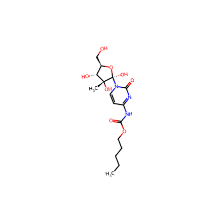 CCCCCOC(=O)Nc1ccn([C@]2(O)O[C@H](CO)[C@@H](O)[C@@]2(C)O)c(=O)n1